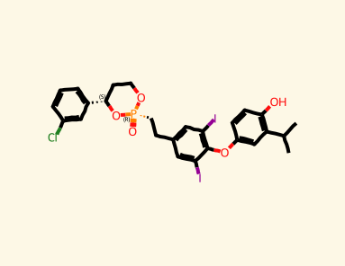 CC(C)c1cc(Oc2c(I)cc(CC[P@@]3(=O)OCC[C@@H](c4cccc(Cl)c4)O3)cc2I)ccc1O